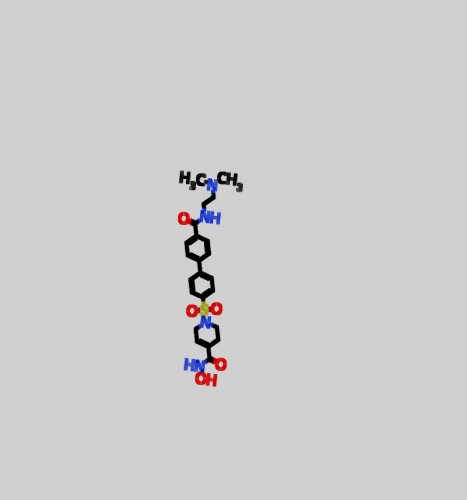 CN(C)CCNC(=O)c1ccc(-c2ccc(S(=O)(=O)N3CC=C(C(=O)NO)CC3)cc2)cc1